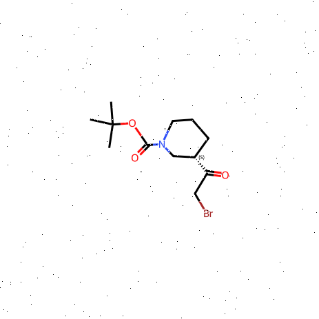 CC(C)(C)OC(=O)N1CCC[C@H](C(=O)CBr)C1